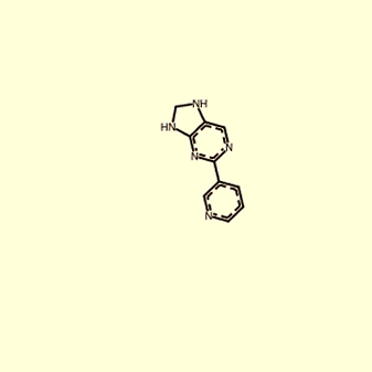 c1cncc(-c2ncc3c(n2)NCN3)c1